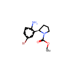 CC(C)(C)OC(=O)N1CCC[C@@H]1c1cc(Br)ccc1N